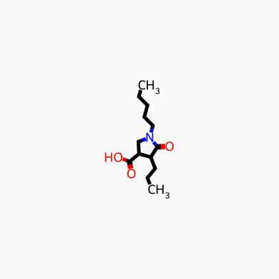 CCCCCN1CC(C(=O)O)C(CCC)C1=O